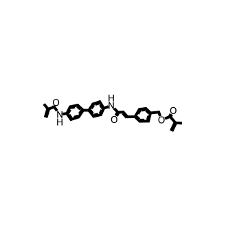 C=C(C)C(=O)Nc1ccc(-c2ccc(NC(=O)/C=C/c3ccc(COC(=O)C(=C)C)cc3)cc2)cc1